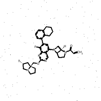 C=CC(=O)N1CCC2[C@H]1CN2c1cc(-c2cccc3c2CCCC3)c(F)c2nc(OC[C@@]34CCCN3C[C@H](F)C4)ncc12